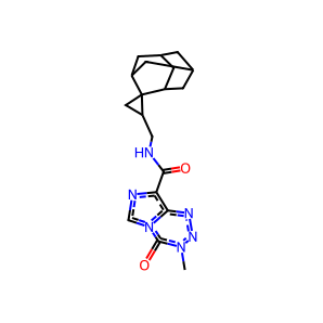 Cn1nnc2c(C(=O)NCC3CC34C3CC5CC(C3)CC4C5)ncn2c1=O